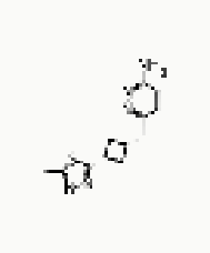 Cc1nnc([C@H]2C[C@@H](Cc3ccc(N)nn3)C2)s1